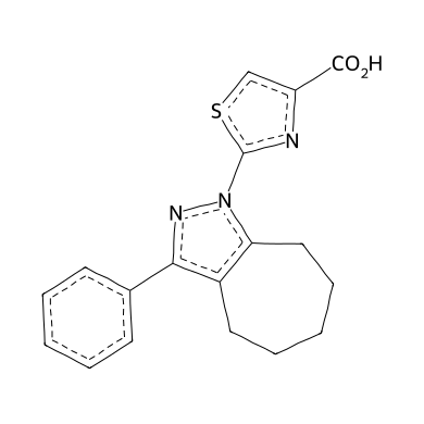 O=C(O)c1csc(-n2nc(-c3ccccc3)c3c2CCCCC3)n1